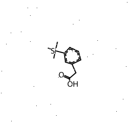 C[Si](C)(C)c1cccc(CC(=O)O)c1